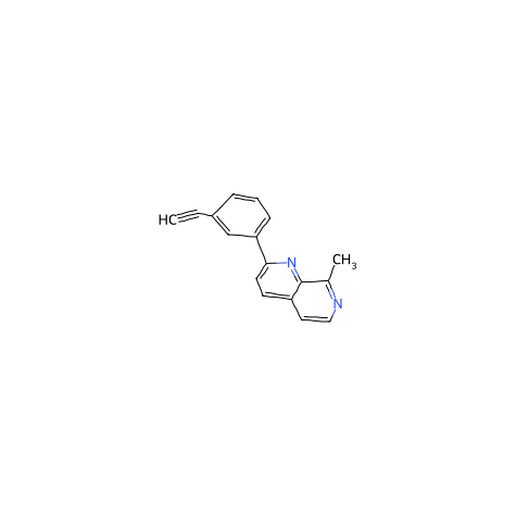 C#Cc1cccc(-c2ccc3ccnc(C)c3n2)c1